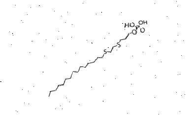 CCCCCCCCCCCCCCCSCCSCCCOP(=O)(O)O